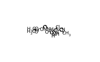 Cc1cc(-c2nc3c(cc2Cl)N2C[C@H](CC2C(=O)Nc2cccc(OC[C@H]4COC(C)(C)O4)n2)N3)ccn1